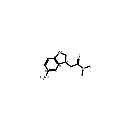 CN(C)C(=O)CC1COc2ccc(N)cc21